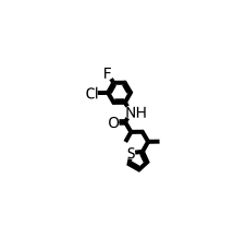 CC(CC(C)c1cccs1)C(=O)Nc1ccc(F)c(Cl)c1